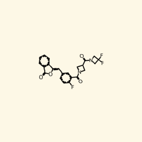 O=C1OC(=Cc2ccc(F)c(C(=O)N3CC(C(=O)N4CC(F)(F)C4)C3)c2)c2ccccc21